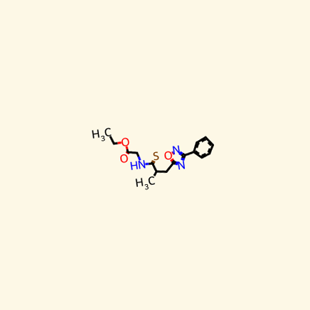 CCOC(=O)CNC(=S)C(C)Cc1nc(-c2ccccc2)no1